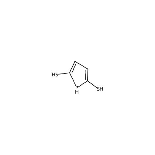 Sc1ccc(S)[pH]1